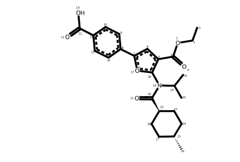 CCOC(=O)c1cc(-c2ccc(C(=O)O)cc2)oc1N(C(=O)[C@H]1CC[C@H](C)CC1)C(C)C